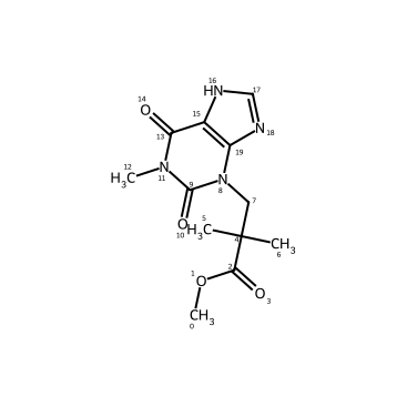 COC(=O)C(C)(C)Cn1c(=O)n(C)c(=O)c2[nH]cnc21